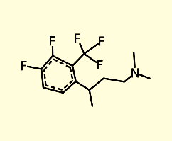 CC(CCN(C)C)c1ccc(F)c(F)c1C(F)(F)F